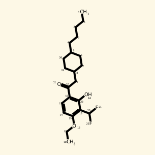 CCCCCC1CCC(CC(=O)c2ccc(OCC)c(C(F)F)c2O)CC1